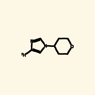 [2H]c1cn(C2CCOCC2)cn1